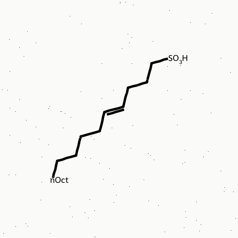 CCCCCCCCCCCCC=CCCCS(=O)(=O)O